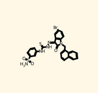 NS(=O)(=O)c1cccc(NC(=S)NN=C2C(=O)N(Cc3cccc4ccccc34)c3ccc(Br)cc32)c1